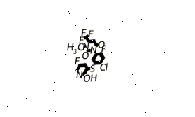 Cn1c(C(F)(F)F)cc(=O)n(-c2cc(Sc3cc(F)cnc3O)c(Cl)cc2F)c1=O